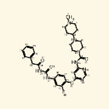 CN1CCC(N2CCN(C(=O)Nc3cc(Oc4ccc(NC(=S)NC(=O)Cc5ccccc5)cc4F)ncn3)CC2)CC1